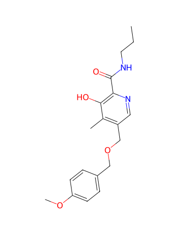 CCCNC(=O)c1ncc(COCc2ccc(OC)cc2)c(C)c1O